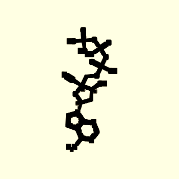 N#C[C@]1(COP(=O)(O)OP(=O)(O)OP(=O)(O)O)O[C@@H](n2ccc3c(N)ncnc32)C[C@@H]1O